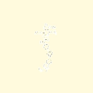 CCO[C@@H]1[C@@H](OC)[C@H](C)O[C@@H](OC(=O)Nc2ccc(-c3ncn(-c4ccc(OC(F)(F)C(F)(F)F)cc4)n3)cc2)[C@@H]1OC